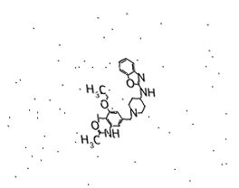 CCOc1cc(CN2CCC(Nc3nc4ccccc4o3)CC2)cc(NC(C)=O)c1I